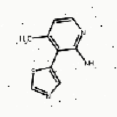 Cc1ccnc(N)c1-c1cncs1